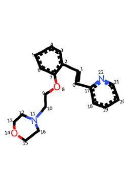 C(=Cc1ccccc1OCCN1CCOCC1)c1ccccn1